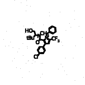 CN(C(=O)c1c(-c2ccc(Cl)cc2)cc(C(F)(F)F)n1Cc1ccccc1)C(CO)C(C)(C)C